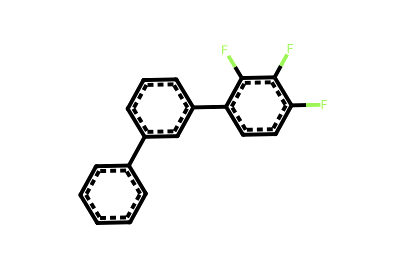 Fc1ccc(-c2cccc(-c3ccccc3)c2)c(F)c1F